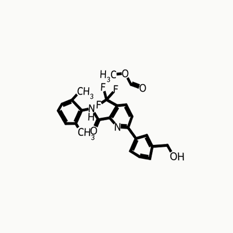 COC=O.Cc1cccc(C)c1NC(=O)c1nc(-c2cccc(CO)c2)ccc1C(F)(F)F